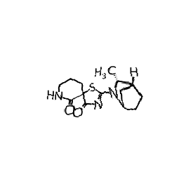 C[C@@H]1[C@@H]2CCC(C2)N1C1=NC(=O)C2(CCCNC2=O)S1